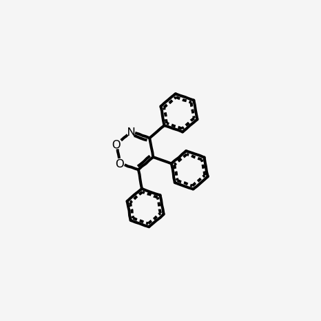 c1ccc(C2=NOOC(c3ccccc3)=C2c2ccccc2)cc1